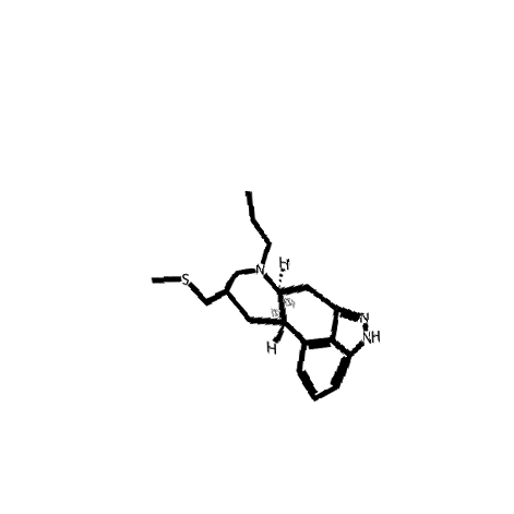 CCCN1CC(CSC)C[C@H]2c3cccc4[nH]nc(c34)C[C@@H]21